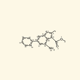 COC(=O)c1c(C)sc2nc(-c3ccccn3)nc(N)c12